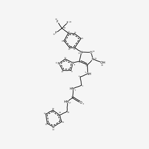 O=C(NCCNC1=C(n2ccnc2)N(c2ccc(C(F)(F)F)cc2)ON1O)NCc1cccnc1